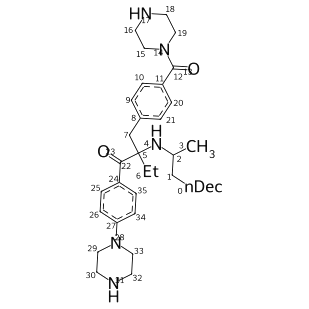 CCCCCCCCCCCC(C)NC(CC)(Cc1ccc(C(=O)N2CCNCC2)cc1)C(=O)c1ccc(N2CCNCC2)cc1